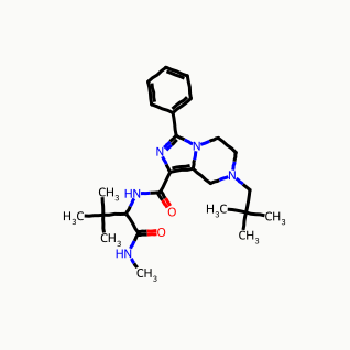 CNC(=O)C(NC(=O)c1nc(-c2ccccc2)n2c1CN(CC(C)(C)C)CC2)C(C)(C)C